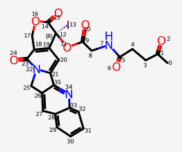 CC(=O)CCC(=O)NCC(=O)O[C@]1(I)C(=O)OCc2c1cc1n(c2=O)Cc2cc3ccccc3nc2-1